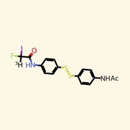 [3H]C(F)(I)C(=O)Nc1ccc(SSc2ccc(NC(C)=O)cc2)cc1